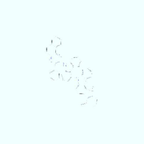 C=CC1=C(/C=C\C)C(C)(C)c2c1ccc1c2c2cccc3c4cccc5c4c4c(cccc4n1c32)n5-c1nc2c(ccc3ccccc32)nc1-c1ccccc1